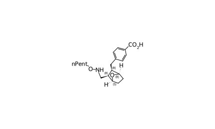 CCCCCONC[C@H]1[C@@H](Cc2ccc(C(=O)O)cc2)[C@H]2CC[C@@H]1O2